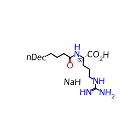 CCCCCCCCCCCCCC(=O)N[C@@H](CCCNC(=N)N)C(=O)O.[NaH]